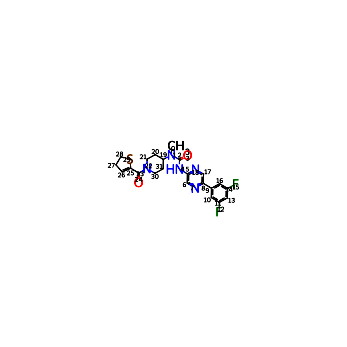 CN(C(=O)Nc1cnc(-c2cc(F)cc(F)c2)cn1)C1CCN(C(=O)C2=CCCS2)CC1